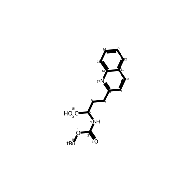 CC(C)(C)OC(=O)NC(CCc1ccc2ccccc2n1)C(=O)O